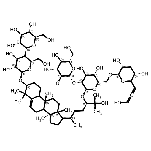 C[C@H](CC[C@@H](O[C@@H]1O[C@H](CO[C@@H]2OC(C=C=CO)[C@@H](O)C[C@H]2O)[C@@H](O)[C@H](O)[C@H]1O[C@H]1O[C@@H](CO)[C@H](O)[C@@H](O)[C@@H]1O)C(C)(C)O)C1CC[C@@]2(C)C3CC=C4C(CC[C@H](O[C@@H]5O[C@H](CO)C([C@@H]6O[C@H](CO)[C@@H](O)[C@H](O)[C@H]6O)[C@H](O)[C@H]5O)C4(C)C)[C@]3(C)CC[C@]12C